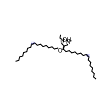 CCCCCCCC/C=C\CCCCCCCCOC(CCCCCCC/C=C\CCCCCCCC)=C(CN(C)C)CN(O)CC